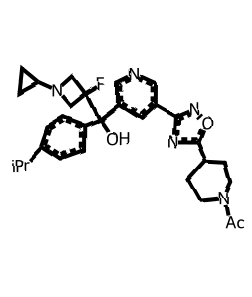 CC(=O)N1CCC(c2nc(-c3cncc(C(O)(c4ccc(C(C)C)cc4)C4(F)CN(C5CC5)C4)c3)no2)CC1